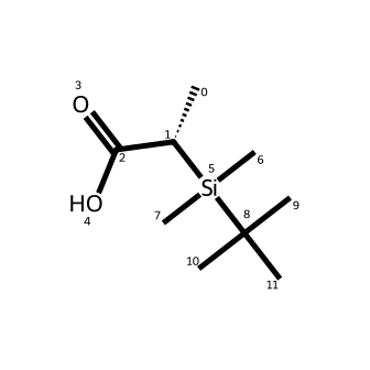 C[C@@H](C(=O)O)[Si](C)(C)C(C)(C)C